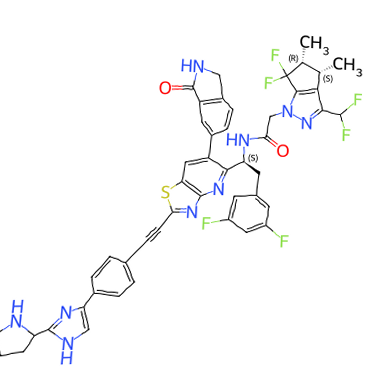 C[C@@H]1c2c(C(F)F)nn(CC(=O)N[C@@H](Cc3cc(F)cc(F)c3)c3nc4nc(C#Cc5ccc(-c6c[nH]c(C7CCCN7)n6)cc5)sc4cc3-c3ccc4c(c3)C(=O)NC4)c2C(F)(F)[C@@H]1C